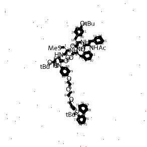 CSC[C@H](NC(=O)[C@H](Cc1ccccc1)NC(=O)[C@H](Cc1ccc(OC(C)(C)C)cc1)NC(=O)[C@H](Cc1ccccc1)NC(C)=O)C(=O)N[C@@H](CC(=O)OC(C)(C)C)C(=O)Nc1ccc(OCCOCCOCC#C[Si](c2ccccc2)(c2ccccc2)C(C)(C)C)cc1